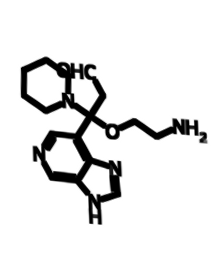 NCCOC(CC=O)(c1cncc2[nH]cnc12)N1CCCCC1